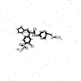 CSCc1cnc(NC(=O)/C(=C/C2CCCC2)c2ccc(S(C)(=O)=O)c(Cl)c2)cn1